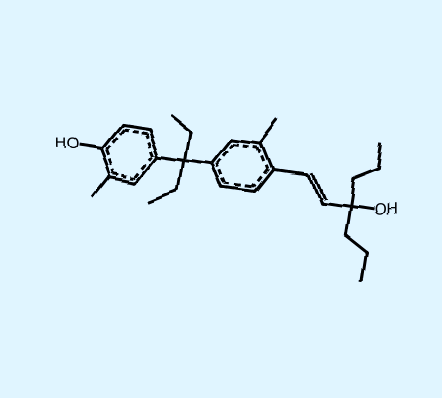 CCCC(O)(C=Cc1ccc(C(CC)(CC)c2ccc(O)c(C)c2)cc1C)CCC